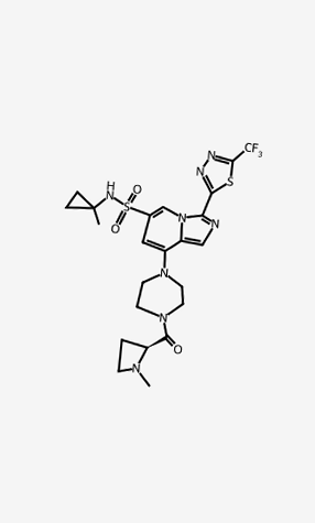 CN1CC[C@H]1C(=O)N1CCN(c2cc(S(=O)(=O)NC3(C)CC3)cn3c(-c4nnc(C(F)(F)F)s4)ncc23)CC1